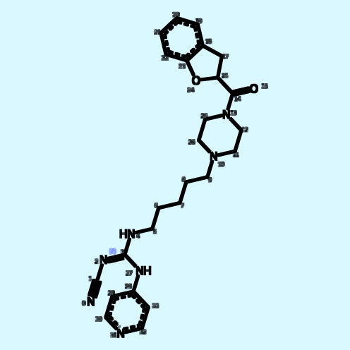 N#C/N=C(/NCCCCCN1CCN(C(=O)C2Cc3ccccc3O2)CC1)Nc1ccncc1